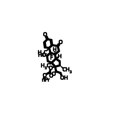 CCCOC(=O)O[C@]1(C(=O)CO)[C@@H](C)C[C@H]2[C@@H]3CC(=O)C4=CC(=O)C=C[C@]4(C)[C@@]3(F)[C@@H](O)C[C@@]21C